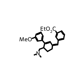 CCOC(=O)c1cccc(C=C2C=C(c3cccc(OC)c3)C(CN(C)C)CC2)c1